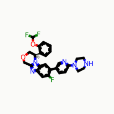 Fc1cc2nc3n(c2cc1-c1ccc(N2CCNCC2)nc1)[C@H](c1ccccc1OC(F)F)COC3